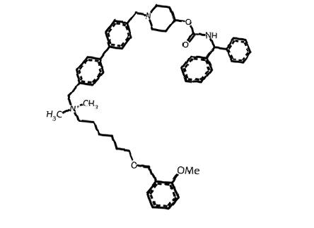 COc1ccccc1COCCCCCC[N+](C)(C)Cc1ccc(-c2ccc(CN3CCC(OC(=O)NC(c4ccccc4)c4ccccc4)CC3)cc2)cc1